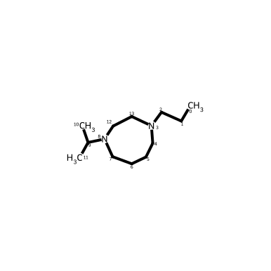 CCCN1CCCCN(C(C)C)CC1